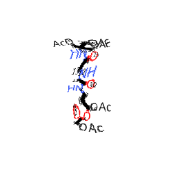 CC(=O)OCC(=O)OC(CCNC(=O)CNCC(=O)NC(COC(C)=O)(COC(C)=O)COC(C)=O)OC(C)=O